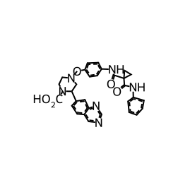 O=C(O)N1CCN(Oc2ccc(NC(=O)C3(C(=O)Nc4ccccc4)CC3)cc2)CC1c1ccc2cncnc2c1